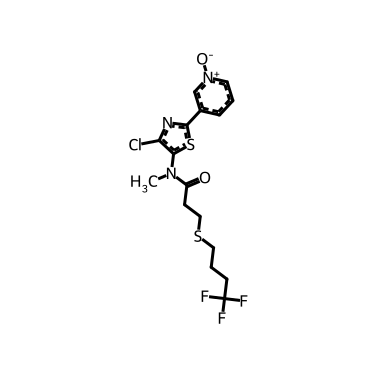 CN(C(=O)CCSCCCC(F)(F)F)c1sc(-c2ccc[n+]([O-])c2)nc1Cl